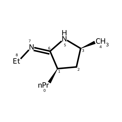 CCC[C@@H]1C[C@H](C)N/C1=N/CC